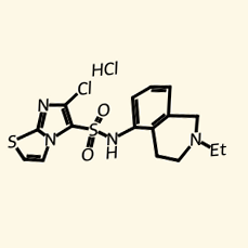 CCN1CCc2c(cccc2NS(=O)(=O)c2c(Cl)nc3sccn23)C1.Cl